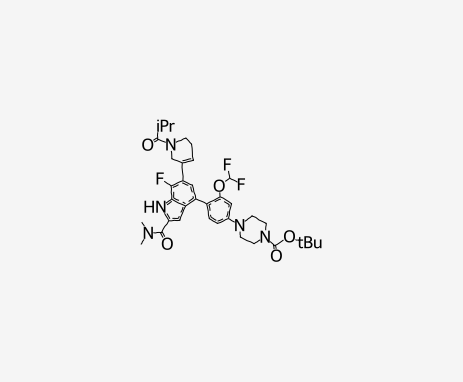 CC(C)C(=O)N1CCC=C(c2cc(-c3ccc(N4CCN(C(=O)OC(C)(C)C)CC4)cc3OC(F)F)c3cc(C(=O)N(C)C)[nH]c3c2F)C1